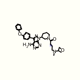 CN(C/C=C/C(=O)N1CCCC(n2nc(-c3ccc(Oc4ccccc4)cc3)c3c(N)ncnc32)C1)C1COC1